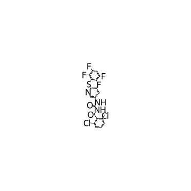 O=C(NC(=O)c1c(Cl)cccc1Cl)Nc1ccc(Sc2c(F)c(F)cc(F)c2F)nc1